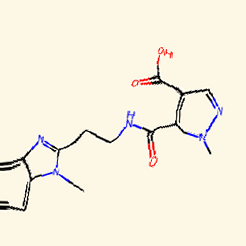 Cn1ncc(C(=O)O)c1C(=O)NCCc1nc2ccccc2n1C